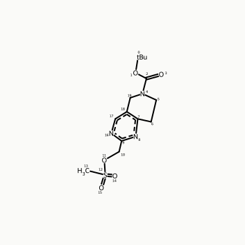 CC(C)(C)OC(=O)N1CCc2nc(COS(C)(=O)=O)ncc2C1